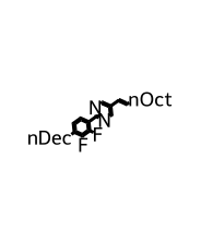 CCCCCCCCC=Cc1cnc(-c2ccc(CCCCCCCCCC)c(F)c2F)nc1